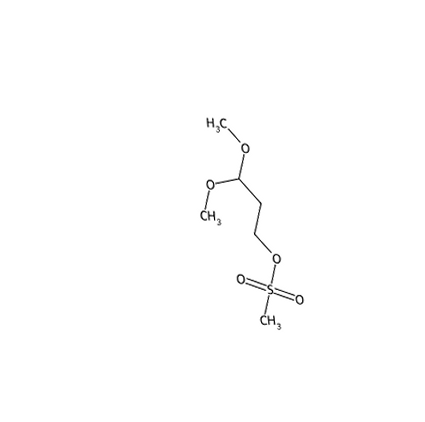 COC(CCOS(C)(=O)=O)OC